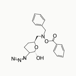 [N-]=[N+]=NC1CC[C@@H](CN(Cc2ccccc2)OC(=O)c2ccccc2)O[C@@H]1O